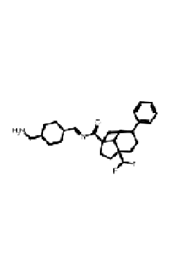 NCC1CCC(/C=N/C(=O)C23CCC4(C(F)F)CCC(c5ccccc5)(CC24)C3)CC1